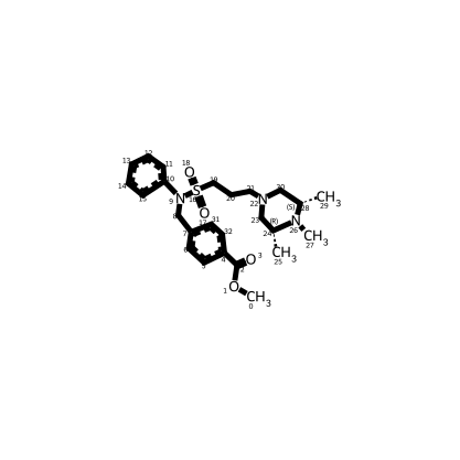 COC(=O)c1ccc(CN(c2ccccc2)S(=O)(=O)CCCN2C[C@@H](C)N(C)[C@@H](C)C2)cc1